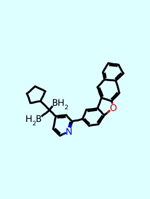 BC(B)(c1ccnc(-c2ccc3oc4cc5ccccc5cc4c3c2)c1)C1CCCC1